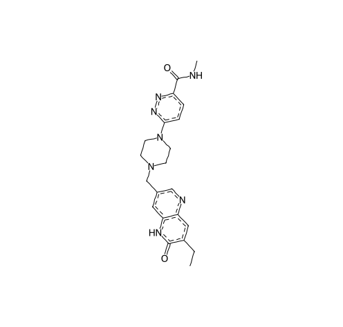 CCc1cc2ncc(CN3CCN(c4ccc(C(=O)NC)nn4)CC3)cc2[nH]c1=O